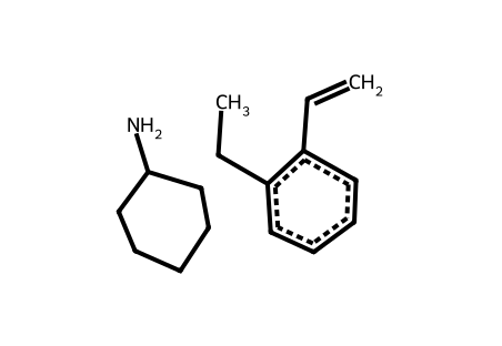 C=Cc1ccccc1CC.NC1CCCCC1